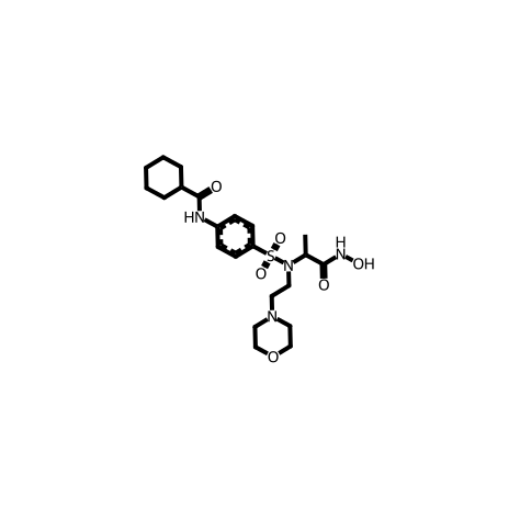 CC(C(=O)NO)N(CCN1CCOCC1)S(=O)(=O)c1ccc(NC(=O)C2CCCCC2)cc1